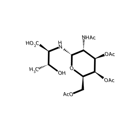 CC(=O)N[C@@H]1[C@@H](OC(C)=O)[C@@H](OC(C)=O)[C@@H](COC(C)=O)O[C@@H]1N[C@H](C(=O)O)[C@@H](C)O